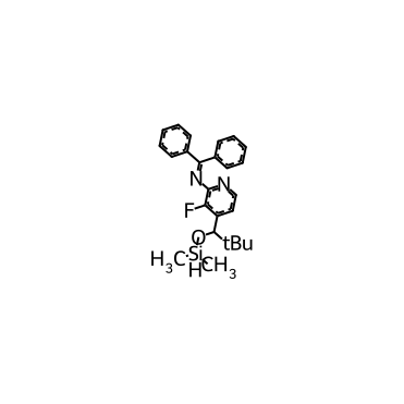 C[SiH](C)OC(c1ccnc(N=C(c2ccccc2)c2ccccc2)c1F)C(C)(C)C